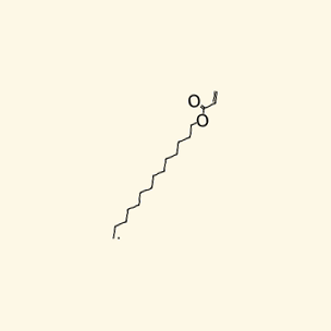 [CH2]CCCCCCCCCCCCCOC(=O)C=C